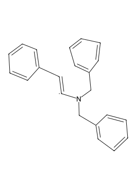 [C](=Cc1ccccc1)N(Cc1ccccc1)Cc1ccccc1